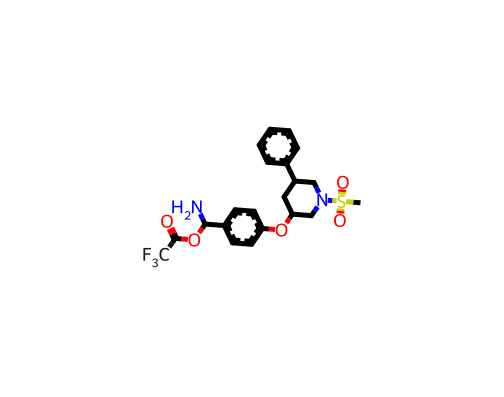 CS(=O)(=O)N1CC(Oc2ccc(C(N)OC(=O)C(F)(F)F)cc2)CC(c2ccccc2)C1